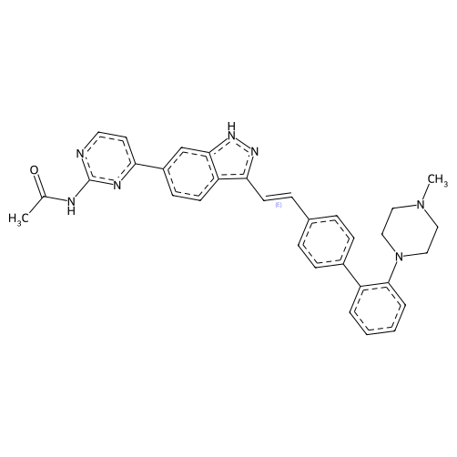 CC(=O)Nc1nccc(-c2ccc3c(/C=C/c4ccc(-c5ccccc5N5CCN(C)CC5)cc4)n[nH]c3c2)n1